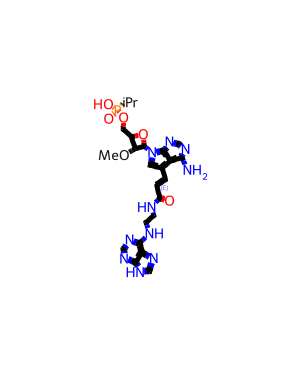 COC1C(COP(=O)(O)C(C)C)OC1n1cc(/C=C/C(=O)NCCNc2ncnc3[nH]cnc23)c2c(N)ncnc21